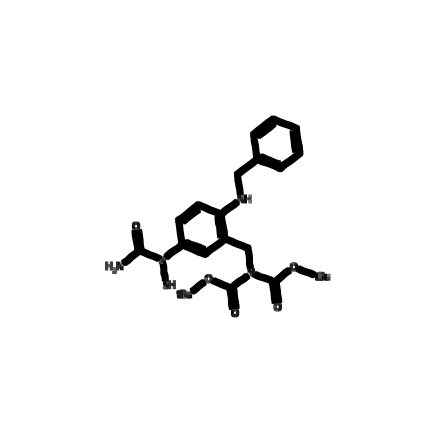 CC(C)(C)OC(=O)N(Cc1cc(N(S)C(N)=O)ccc1NCc1ccccc1)C(=O)OC(C)(C)C